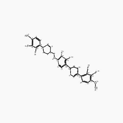 CCCc1ccc(C2CCC(COc3ccc(C4CC=C(c5ccc(OCC)c(F)c5F)CC4)c(F)c3F)CC2)c(F)c1F